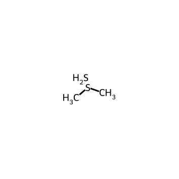 CSC.S